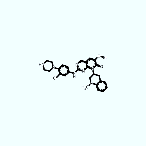 CCOc1cc2cnc(Nc3ccc(N4CCNCC4)c(Cl)c3)nc2n(C2Cc3ccccc3N(C)C2)c1=O